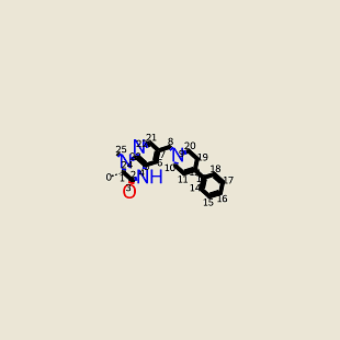 C[C@H]1C(=O)Nc2cc(CN3CC=C(c4ccccc4)CC3)cnc2N1C